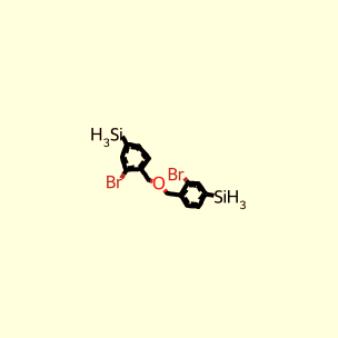 [SiH3]c1ccc(COCc2ccc([SiH3])cc2Br)c(Br)c1